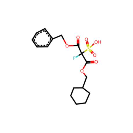 O=C(OCc1ccccc1)C(F)(C(=O)OCC1CCCCC1)S(=O)(=O)O